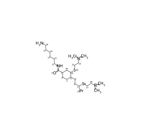 CC(C)C(CCC1CCC(C(=O)NCCCCCCN)CC1SCCN(C)C)SCCN(C)C